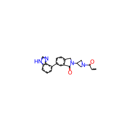 C=CC(=O)N1CC(N2Cc3ccc(-c4cccc5[nH]cnc45)cc3C2=O)C1